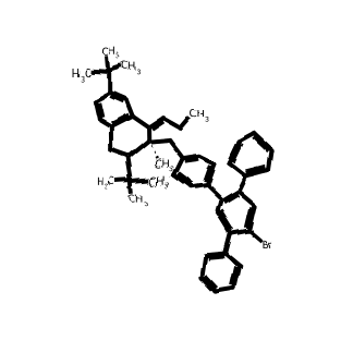 CC/C=C1/c2cc(C(C)(C)C)ccc2CC(C(C)(C)C)[C@]1(C)Cc1ccc(-c2cc(-c3ccccc3)c(Br)cc2-c2ccccc2)cc1